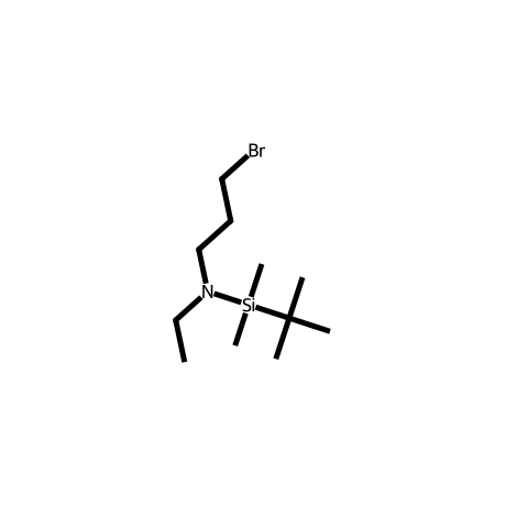 CCN(CCCBr)[Si](C)(C)C(C)(C)C